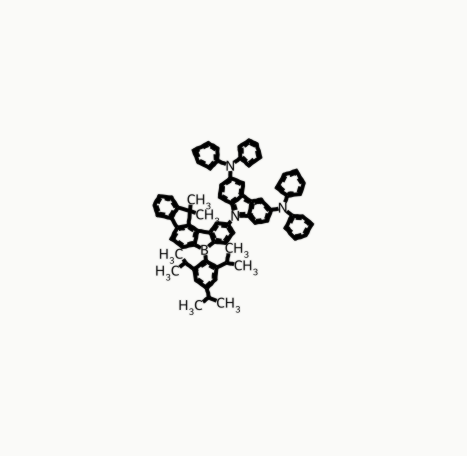 CC(C)c1cc(C(C)C)c(B2c3ccc(-n4c5ccc(N(c6ccccc6)c6ccccc6)cc5c5cc(N(c6ccccc6)c6ccccc6)ccc54)cc3-c3c2ccc2c3C(C)(C)c3ccccc3-2)c(C(C)C)c1